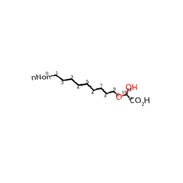 CCCCCCCCCCCCCCCCCCOC(O)C(=O)O